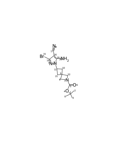 CC(C)(C)OC(=O)N1CC2(CC(n3nc(Br)c(C#N)c3N)C2)C1